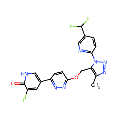 Cc1nnn(-c2ccc(C(F)F)cn2)c1COc1ccc(-c2c[nH]c(=O)c(F)c2)nn1